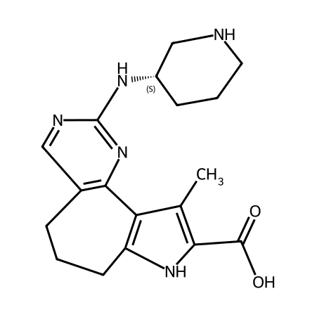 Cc1c(C(=O)O)[nH]c2c1-c1nc(N[C@H]3CCCNC3)ncc1CCC2